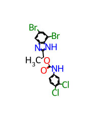 C[C@H](OC(=O)Nc1ccc(Cl)c(Cl)c1)c1nc2cc(Br)cc(Br)c2[nH]1